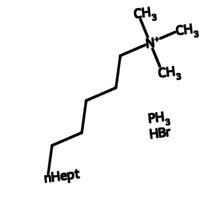 Br.CCCCCCCCCCCC[N+](C)(C)C.P